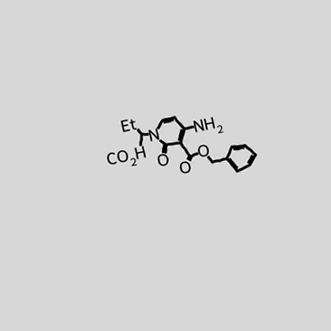 CCC(C(=O)O)n1ccc(N)c(C(=O)OCc2ccccc2)c1=O